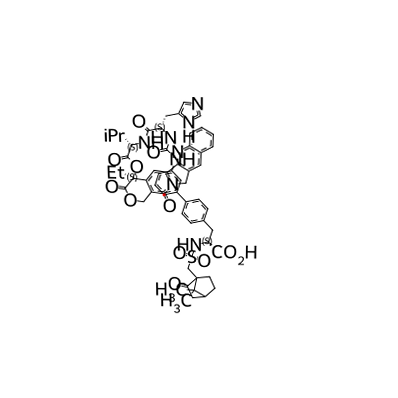 CC[C@@]1(OC(=O)[C@@H](NC(=O)[C@H](Cc2cnc[nH]2)NC(=O)Nc2cccc(-c3ccc(C[C@H](NS(=O)(=O)CC45CCC(CC4=O)C5(C)C)C(=O)O)cc3)c2)C(C)C)C(=O)OCc2c1cc1n(c2=O)Cc2cc3ccccc3nc2-1